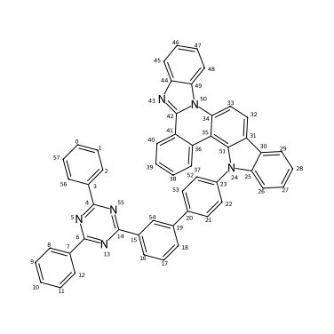 c1ccc(-c2nc(-c3ccccc3)nc(-c3cccc(-c4ccc(-n5c6ccccc6c6ccc7c(c8ccccc8c8nc9ccccc9n78)c65)cc4)c3)n2)cc1